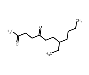 CCCCC(CC)CCC(=O)CCC(C)=O